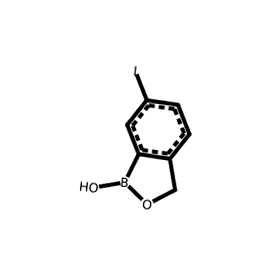 OB1OCc2ccc(I)cc21